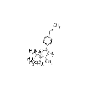 C/C=C/c1ccc(O[SiH2][Si](C(C)C)(C(C)C)C(C)C)cc1